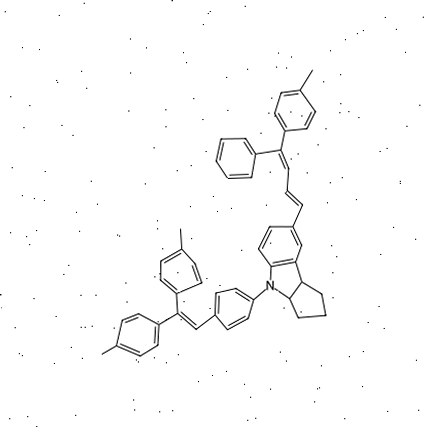 Cc1ccc(C(=Cc2ccc(N3c4ccc(/C=C/C=C(\c5ccccc5)c5ccc(C)cc5)cc4C4CCCC43)cc2)c2ccc(C)cc2)cc1